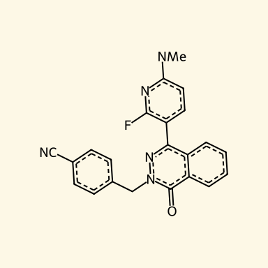 CNc1ccc(-c2nn(Cc3ccc(C#N)cc3)c(=O)c3ccccc23)c(F)n1